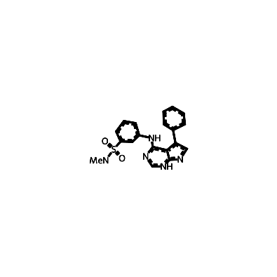 CNS(=O)(=O)c1cccc(Nc2nc[nH]c3ncc(-c4ccccc4)c2-3)c1